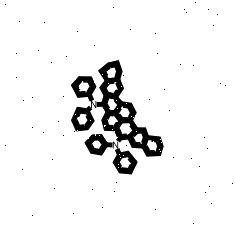 c1ccc(N(c2ccccc2)c2c3cc4ccccc4cc3c3ccc4c5cc6ccccc6cc5c(N(c5ccccc5)c5ccccc5)c5ccc2c3c54)cc1